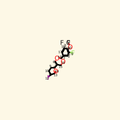 Fc1cc(C2OCC(C3CCC(I)CO3)CO2)ccc1OC(F)(F)F